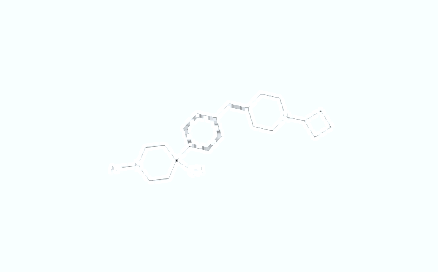 CC(=O)N1CCC(O)(c2ccc(C=C3CCN(C4CCC4)CC3)cc2)CC1